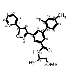 COCC(C)NC(=O)c1cc(C2=NOC(c3ccccn3)C2)cc(-c2ccc(C)cc2F)c1